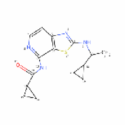 CC(Nc1nc2ccnc(NC(=O)C3CC3)c2s1)C1CC1